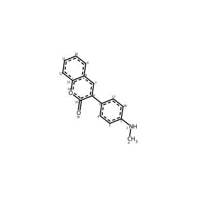 CNc1ccc(-c2cc3ccccc3oc2=O)cc1